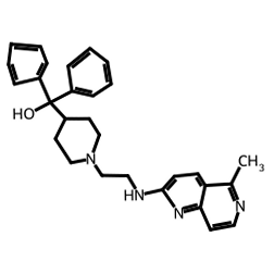 Cc1nccc2nc(NCCN3CCC(C(O)(c4ccccc4)c4ccccc4)CC3)ccc12